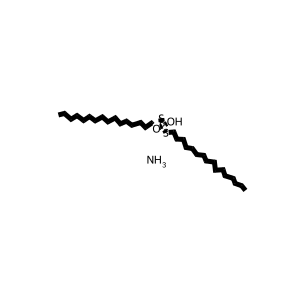 CCCCCCCCCCCCCCCCOP(O)(=S)SCCCCCCCCCCCCCCCC.N